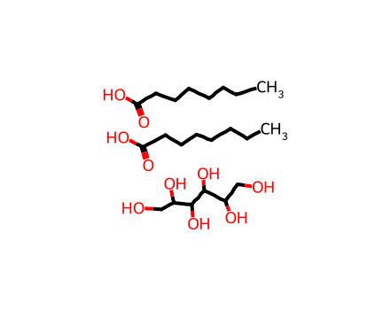 CCCCCCCC(=O)O.CCCCCCCC(=O)O.OCC(O)C(O)C(O)C(O)CO